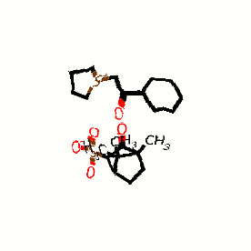 CC12CCC(C(S(=O)(=O)[O-])C1=O)C2(C)C.O=C(C[S+]1CCCC1)C1CCCCC1